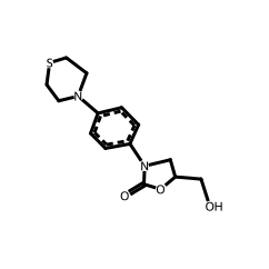 O=C1OC(CO)CN1c1ccc(N2CCSCC2)cc1